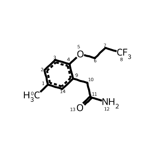 Cc1ccc(OCCC(F)(F)F)c(CC(N)=O)c1